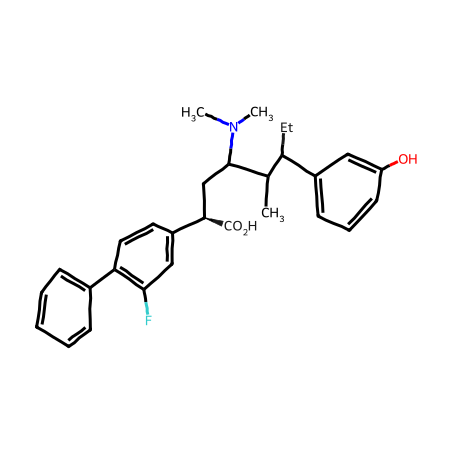 CCC(c1cccc(O)c1)C(C)C(C[C@@H](C(=O)O)c1ccc(-c2ccccc2)c(F)c1)N(C)C